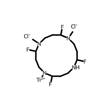 CN1CCC(F)NCCC(F)[N]([Ti+2])CCC(F)N(C)CCC1F.[Cl-].[Cl-]